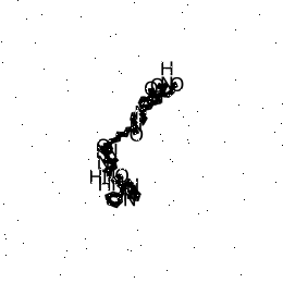 Cc1cc(NC(=O)Nc2cnc3ccnn3c2C2CCCCC2)cnc1-c1noc(CCCCCC(=O)N2CCN(c3ccc4c(c3)CN(C3CCC(=O)NC3=O)C4=O)CC2)n1